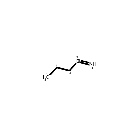 CC[CH2][Bi]=[NH]